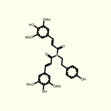 COc1cc(/C=C/C(=O)N(CCc2ccc(O)cc2)C(=O)/C=C/c2cc(OC)c(O)c(OC)c2)cc(OC)c1O